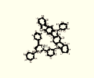 C1=C(c2ccccc2)NC(c2cccc(-n3c4ccccc4c4cc5c(cc43)c3cc4oc6ccccc6c4cc3n5-c3ccccc3)c2)NC1c1ccccc1